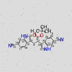 CC(C)(C)OC(=O)C(Cc1c[nH]c2cc(C#N)ccc12)c1c[nH]c2cc(C#N)ccc12